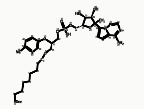 CCCCCCCCCCCCCCCCCCOC[C@H](COP(=O)(O)OC[C@H]1O[C@@](C)(c2ccc3c(N)ncnn23)[C@H](O)[C@@H]1O)Oc1ccc(C#N)nc1